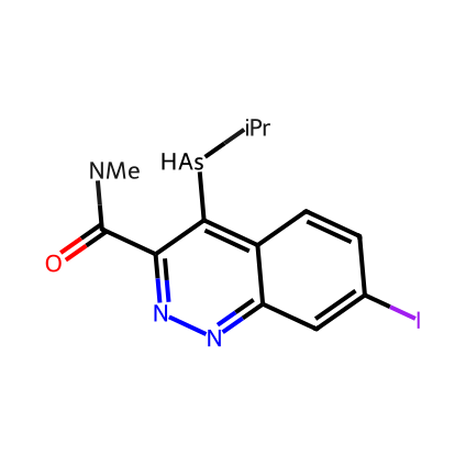 CNC(=O)c1nnc2cc(I)ccc2c1[AsH]C(C)C